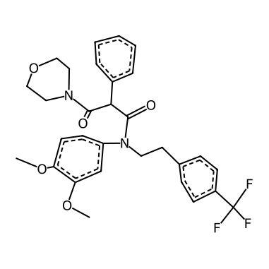 COc1ccc(N(CCc2ccc(C(F)(F)F)cc2)C(=O)C(C(=O)N2CCOCC2)c2ccccc2)cc1OC